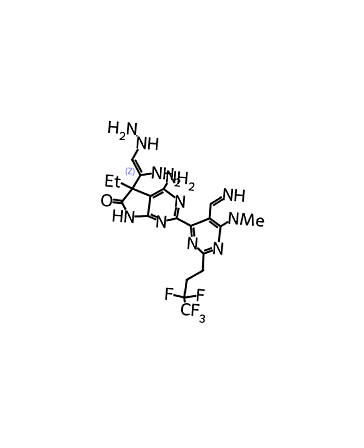 CCC1(/C(N)=C/NN)C(=O)Nc2nc(-c3nc(CCC(F)(F)C(F)(F)F)nc(NC)c3C=N)nc(N)c21